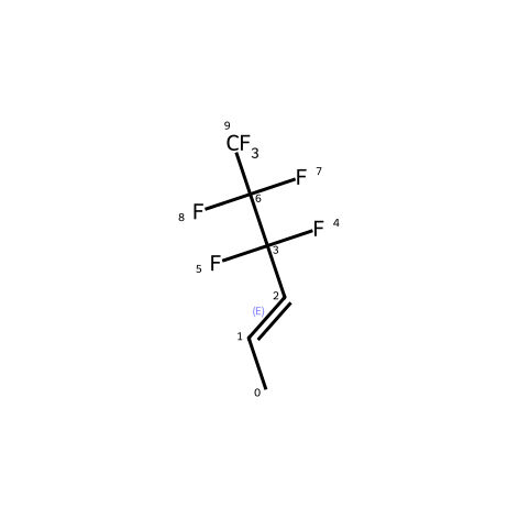 C/C=C/C(F)(F)C(F)(F)C(F)(F)F